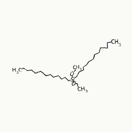 CCCCCCCCCCCCC[Si](CCCCCCCCCCCCC)(OCC)OCC